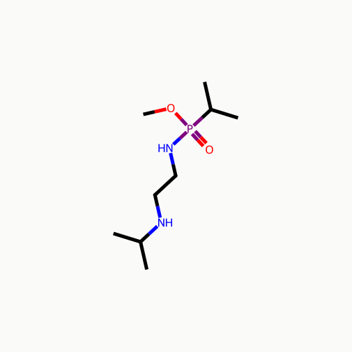 COP(=O)(NCCNC(C)C)C(C)C